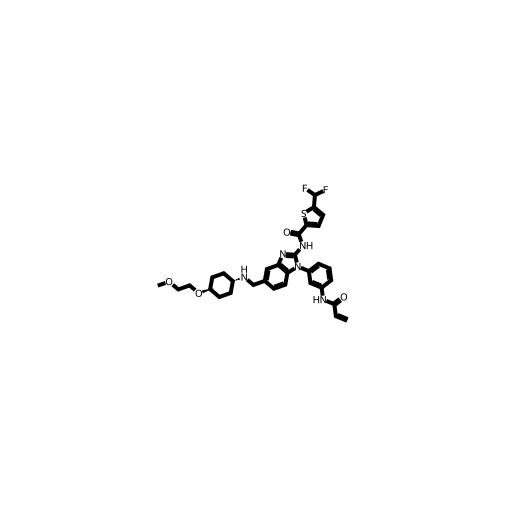 C=CC(=O)Nc1cccc(-n2c(NC(=O)c3ccc(C(F)F)s3)nc3cc(CN[C@H]4CC[C@H](OCCOC)CC4)ccc32)c1